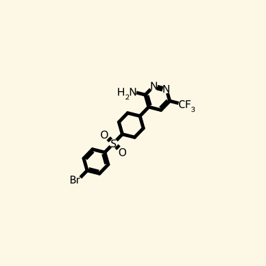 Nc1nnc(C(F)(F)F)cc1C1CCC(S(=O)(=O)c2ccc(Br)cc2)CC1